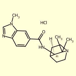 Cl.Cn1cnc2ccc(C(=O)N[C@@H]3C4CCN(CC4)C3(C)C)cc21